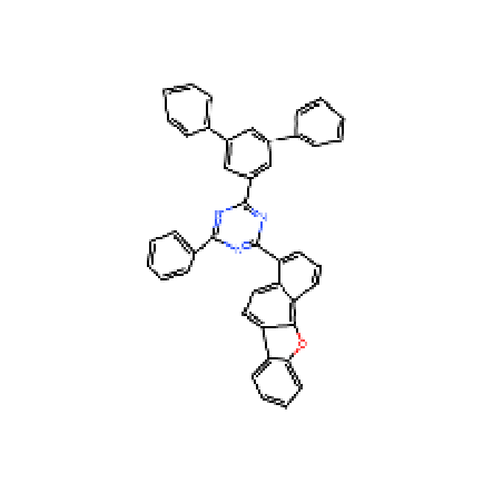 c1ccc(-c2cc(-c3ccccc3)cc(-c3nc(-c4ccccc4)nc(-c4cccc5c4ccc4c6ccccc6oc54)n3)c2)cc1